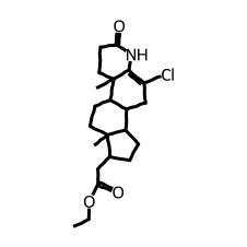 CCOC(=O)CC1CCC2C3CC(Cl)=C4NC(=O)CCC4(C)C3CCC12C